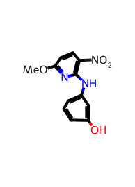 COc1ccc([N+](=O)[O-])c(Nc2cccc(O)c2)n1